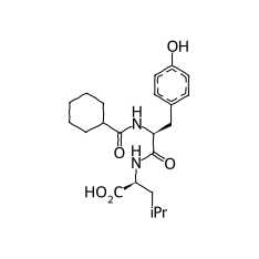 CC(C)C[C@H](NC(=O)[C@H](Cc1ccc(O)cc1)NC(=O)C1CCCCC1)C(=O)O